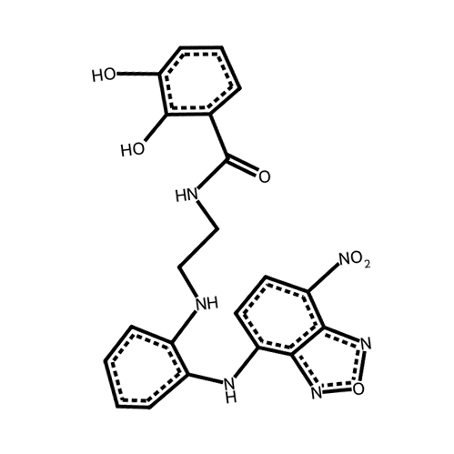 O=C(NCCNc1ccccc1Nc1ccc([N+](=O)[O-])c2nonc12)c1cccc(O)c1O